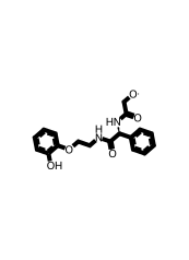 [O]CC(=O)N[C@@H](C(=O)NCCOc1ccccc1O)c1ccccc1